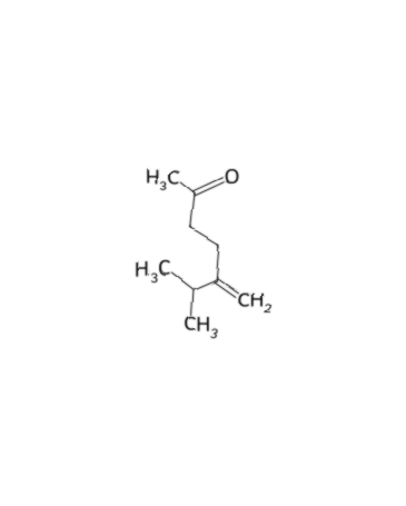 C=C(CCC(C)=O)C(C)C